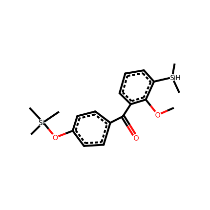 COc1c(C(=O)c2ccc(O[Si](C)(C)C)cc2)cccc1[SiH](C)C